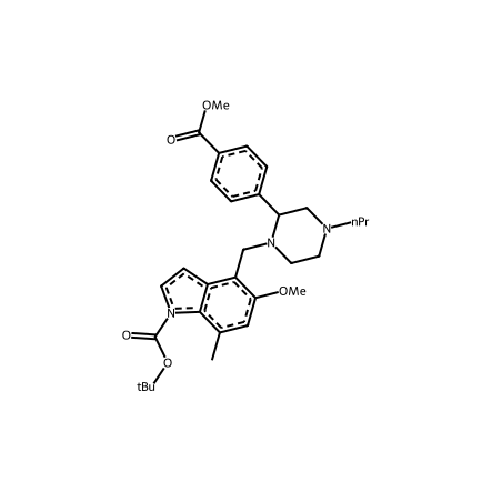 CCCN1CCN(Cc2c(OC)cc(C)c3c2ccn3C(=O)OC(C)(C)C)C(c2ccc(C(=O)OC)cc2)C1